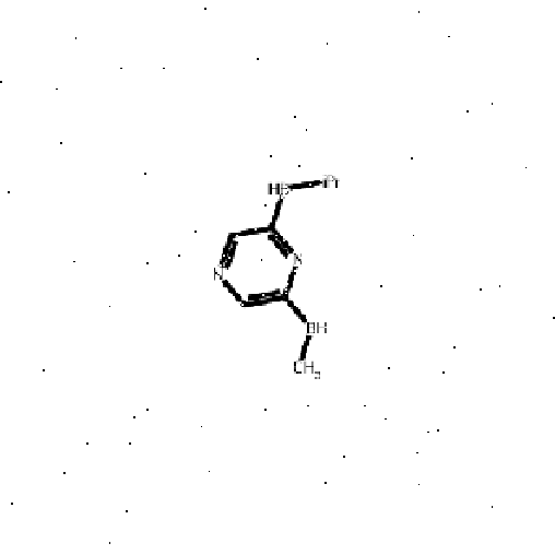 CBc1cncc(BC(C)C)n1